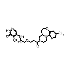 C[C@H](COCCC(=O)N1CCN2c3ncc(C(F)(F)F)cc3OCCC2C1)Nc1cn[nH]c(=O)c1C(F)(F)F